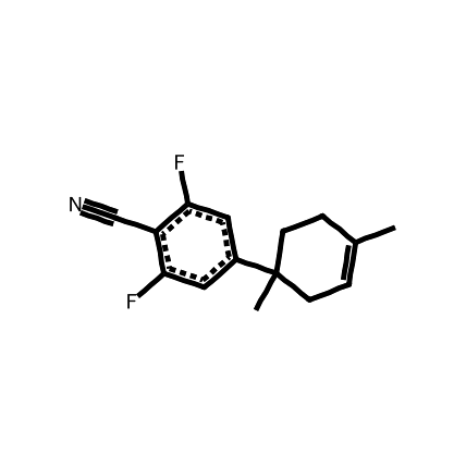 CC1=CCC(C)(c2cc(F)c(C#N)c(F)c2)CC1